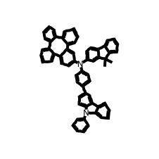 CC1(C)c2ccccc2-c2ccc(N(c3ccc(-c4ccc5c(c4)c4ccccc4n5-c4ccccc4)cc3)c3ccc4c(c3)-c3ccccc3-c3ccccc3-c3ccccc3-4)cc21